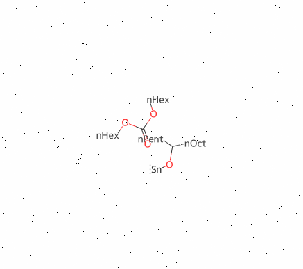 CCCCCCCCC(CCCCC)[O][Sn].CCCCCCOC(=O)OCCCCCC